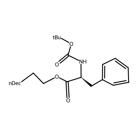 CCCCCCCCCCCCOC(=O)[C@H](Cc1ccccc1)NC(=O)OC(C)(C)C